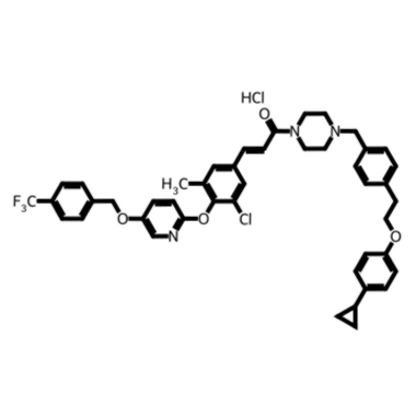 Cc1cc(C=CC(=O)N2CCN(Cc3ccc(CCOc4ccc(C5CC5)cc4)cc3)CC2)cc(Cl)c1Oc1ccc(OCc2ccc(C(F)(F)F)cc2)cn1.Cl